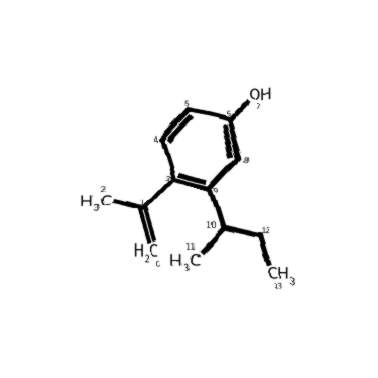 C=C(C)c1ccc(O)cc1C(C)CC